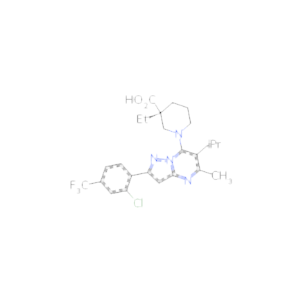 CC[C@@]1(C(=O)O)CCCN(c2c(C(C)C)c(C)nc3cc(-c4ccc(C(F)(F)F)cc4Cl)nn23)C1